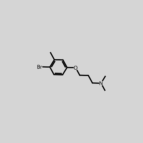 Cc1cc(OCCCN(C)C)ccc1Br